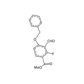 COC(=O)c1ccc(OCc2ccccc2)c(C=O)c1F